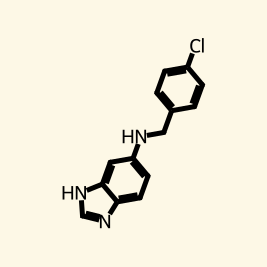 Clc1ccc(CNc2ccc3nc[nH]c3c2)cc1